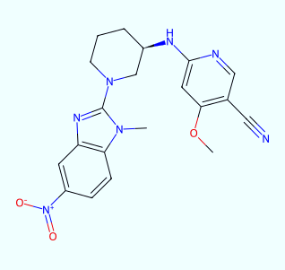 COc1cc(N[C@@H]2CCCN(c3nc4cc([N+](=O)[O-])ccc4n3C)C2)ncc1C#N